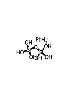 O[Si](O)(O)O[Si](O)(O)O.[PbH2]